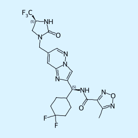 Cc1nonc1C(=O)N[C@H](c1cn2ncc(CN3C[C@@H](C(F)(F)F)NC3=O)cc2n1)C1CCC(F)(F)CC1